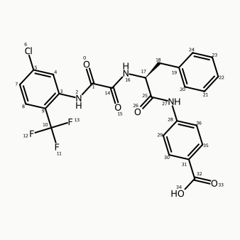 O=C(Nc1cc(Cl)ccc1C(F)(F)F)C(=O)N[C@@H](Cc1ccccc1)C(=O)Nc1ccc(C(=O)O)cc1